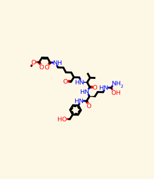 COC(=O)/C=C\C(=O)NCCCCC(C=O)CN[C@H](C(=O)N[C@@H](CCCNC(N)O)C(=O)Nc1ccc(CO)cc1)C(C)C